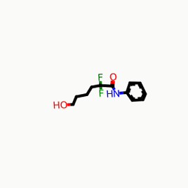 O=C(Nc1ccccc1)C(F)(F)CCCCO